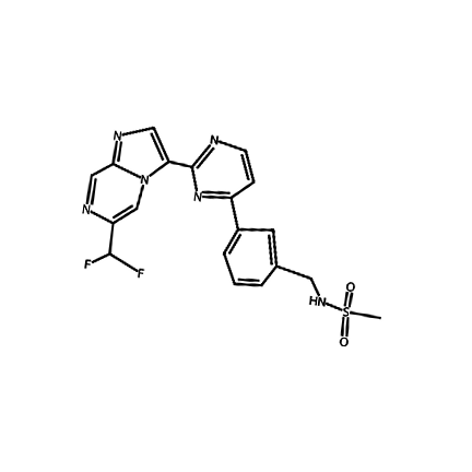 CS(=O)(=O)NCc1cccc(-c2ccnc(-c3cnc4cnc(C(F)F)cn34)n2)c1